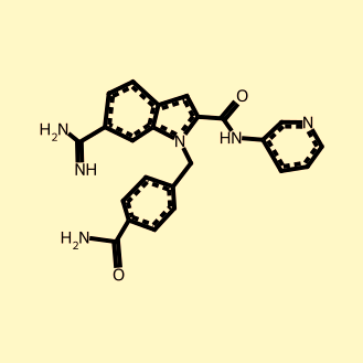 N=C(N)c1ccc2cc(C(=O)Nc3cccnc3)n(Cc3ccc(C(N)=O)cc3)c2c1